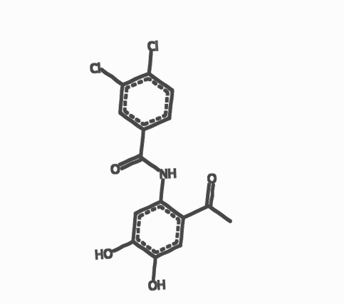 CC(=O)c1cc(O)c(O)cc1NC(=O)c1ccc(Cl)c(Cl)c1